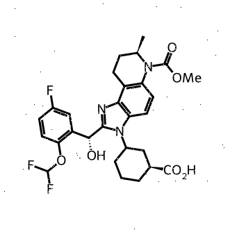 COC(=O)N1c2ccc3c(nc([C@H](O)c4cc(F)ccc4OC(F)F)n3C3CCC[C@H](C(=O)O)C3)c2CC[C@H]1C